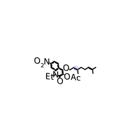 CCn1c(=O)c(OC(C)=O)c(OC/C=C(\C)CCC=C(C)C)c2ccc([N+](=O)[O-])cc21